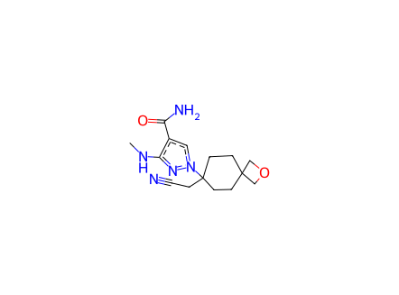 CNc1nn(C2(CC#N)CCC3(CC2)COC3)cc1C(N)=O